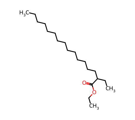 CCCCCCCCCCCCCCC(CC)C(=O)OCC